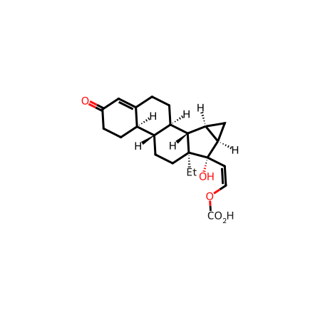 CC[C@]12CC[C@H]3[C@@H](CCC4=CC(=O)CC[C@@H]43)[C@@H]1[C@H]1C[C@H]1[C@@]2(O)/C=C\OC(=O)O